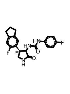 O=C(Nc1ccc(F)cc1)NC1C(=O)NC[C@H]1c1cc2c(cc1F)CCC2